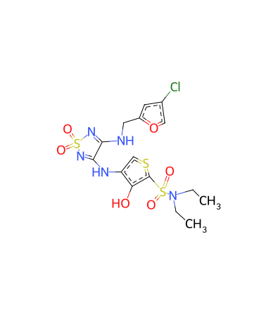 CCN(CC)S(=O)(=O)c1scc(NC2=NS(=O)(=O)N=C2NCc2cc(Cl)co2)c1O